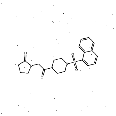 O=C(CN1CCCC1=O)N1CCN(S(=O)(=O)c2cccc3ccccc23)CC1